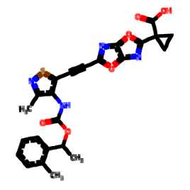 Cc1ccccc1C(C)OC(=O)Nc1c(C)nsc1C#Cc1nc2oc(C3(C(=O)O)CC3)nc2o1